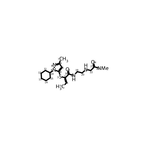 C/C=C(\Sc1cc(C)nn1C1CCCCC1)C(=O)NCCNCC(=O)NC